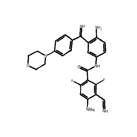 CNc1cc(F)c(C(=O)Nc2ccc(N)c(C(=N)c3ccc(N4CCOCC4)cc3)c2)c(F)c1C=N